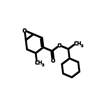 CC1CC2OC2C=C1C(=O)OC(C)C1CCCCC1